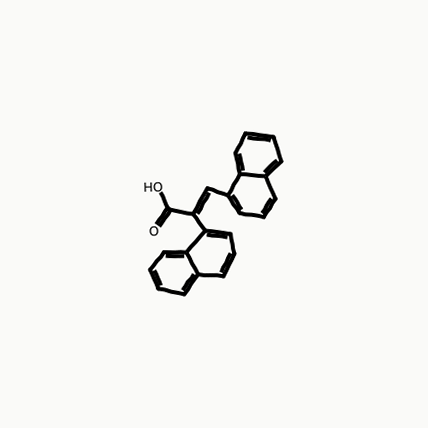 O=C(O)/C(=C/c1cccc2ccccc12)c1cccc2ccccc12